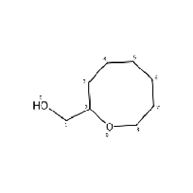 OCC1CCCCCCO1